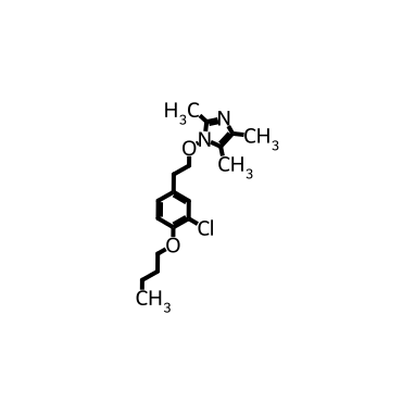 CCCCOc1ccc(CCOn2c(C)nc(C)c2C)cc1Cl